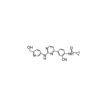 N#Cc1cc(-c2ccnc(Nc3ccc(CO)nc3)n2)ccc1NC(=O)C1CC1